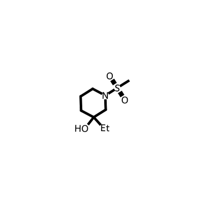 [CH2-][CH+]C1(O)CCCN(S(C)(=O)=O)C1